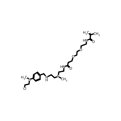 C=C(C)C(=O)NCCOCCOCCC(=O)NCCN(C)CCNCc1ccc(N(C)CCCl)cc1